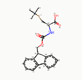 CC(C)(C)SC[C@H](NC(=O)OCC1c2ccccc2-c2ccccc21)C(=O)O